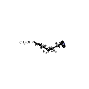 C=C(CCC(=C)N(O)CCCCCNC(=O)CCC(=C)N1Cc2ccccc2/C=C\C2=C1C=CCC2)NCCCCCN(O)C(=O)CCC(=O)NCCCCCN(C)O